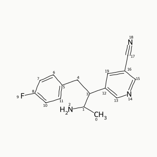 CC(N)C(Cc1ccc(F)cc1)c1cncc(C#N)c1